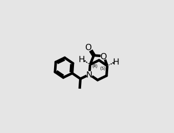 CC(c1ccccc1)N1CC[C@H]2C[C@@H]1C(=O)O2